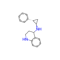 c1ccc([C@@H]2C[C@H]2NC2CCNc3ccccc32)cc1